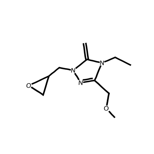 C=C1N(CC2CO2)N=C(COC)N1CC